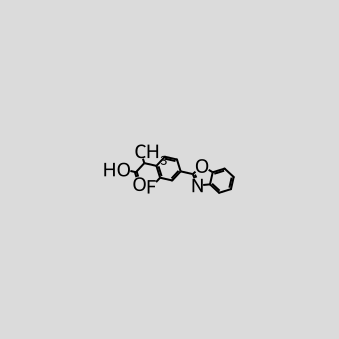 CC(C(=O)O)c1ccc(-c2nc3ccccc3o2)cc1F